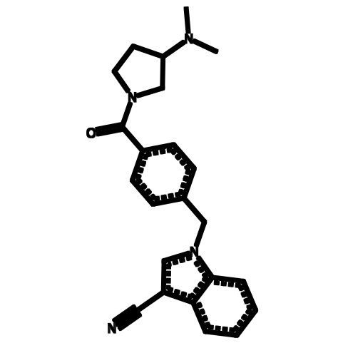 CN(C)C1CCN(C(=O)c2ccc(Cn3cc(C#N)c4ccccc43)cc2)C1